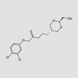 O=C(CCC[C@H]1CO[C@H](CO)OC1)COc1ccc(Cl)c(Cl)c1